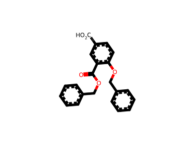 O=C(O)c1ccc(OCc2ccccc2)c(C(=O)OCc2ccccc2)c1